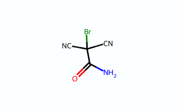 N#CC(Br)(C#N)C(N)=O